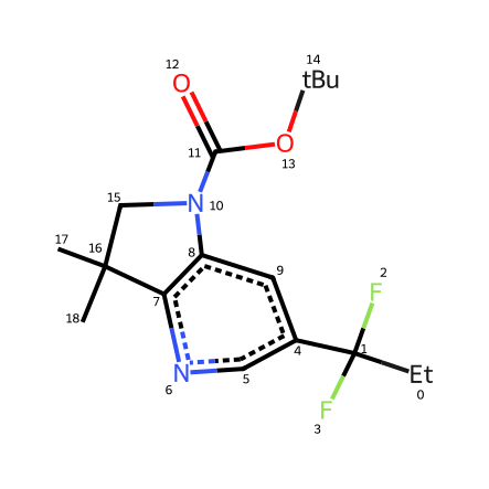 CCC(F)(F)c1cnc2c(c1)N(C(=O)OC(C)(C)C)CC2(C)C